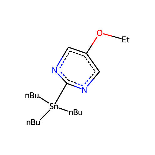 [CH2+]CC[CH2][Sn]([CH2]CCC)([CH2]CCC)[c]1ncc(OCC)cn1